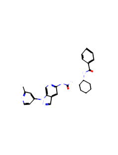 Cc1cc(-n2ncc3cc(NC(=O)N[C@H]4CCCC[C@@H]4NC(=O)c4ccccc4)ncc32)ccn1